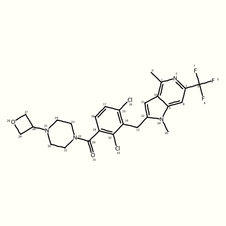 Cc1nc(C(F)(F)F)cc2c1cc(Cc1c(Cl)ccc(C(=O)N3CCN(C4COC4)CC3)c1Cl)n2C